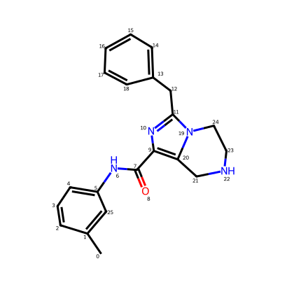 Cc1cccc(NC(=O)c2nc(Cc3ccccc3)n3c2CNCC3)c1